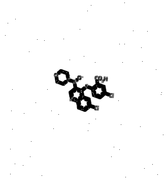 O=C(O)c1cc(Cl)ccc1Sc1c([S+]([O-])N2CCOCC2)cnc2ccc(Cl)cc12